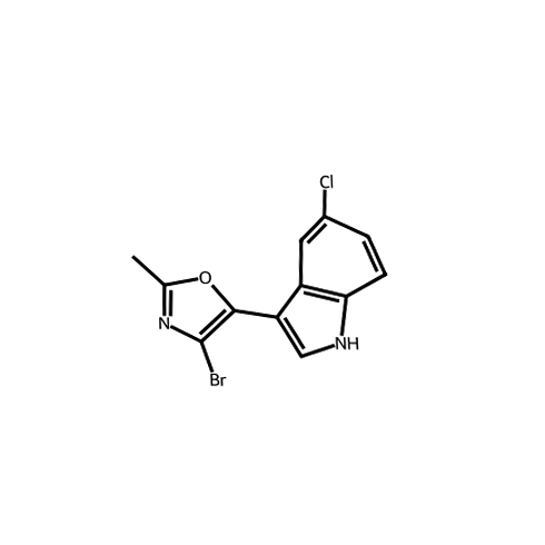 Cc1nc(Br)c(-c2c[nH]c3ccc(Cl)cc23)o1